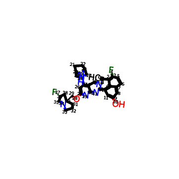 C#Cc1c(F)ccc2cc(O)cc(-c3ncc4c(N5CC6CCC(C5)N6)cc(OC[C@@]56CCCN5C[C@H](F)C6)nc4n3)c12